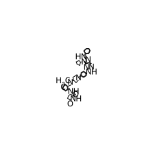 CN(Cc1ccccc1NC1CCC(=O)NC1=O)C1CCN(c2ccc(Nc3ncc4nc(Nc5ccccc5)n(C5CCCC5)c4n3)cc2)CC1